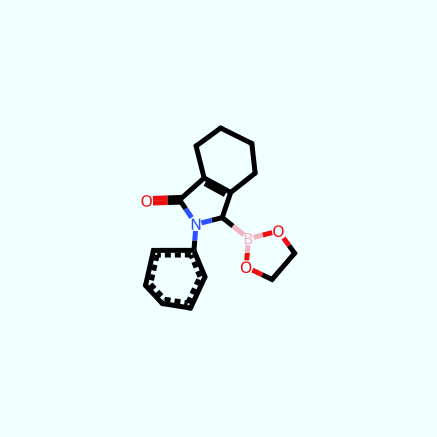 O=C1C2=C(CCCC2)C(B2OCCO2)N1c1ccccc1